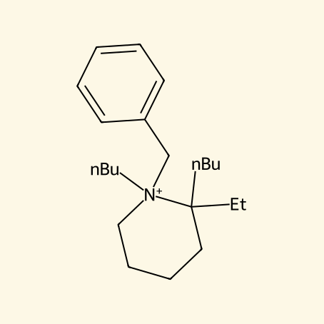 CCCCC1(CC)CCCC[N+]1(CCCC)Cc1ccccc1